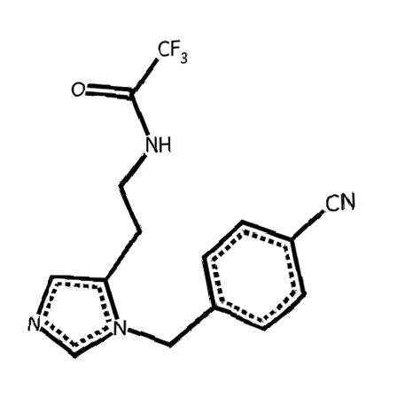 N#Cc1ccc(Cn2cncc2CCNC(=O)C(F)(F)F)cc1